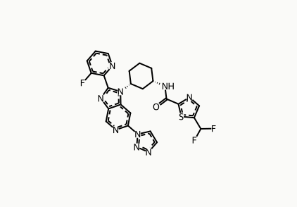 O=C(N[C@H]1CCC[C@@H](n2c(-c3ncccc3F)nc3cnc(-n4ccnn4)cc32)C1)c1ncc(C(F)F)s1